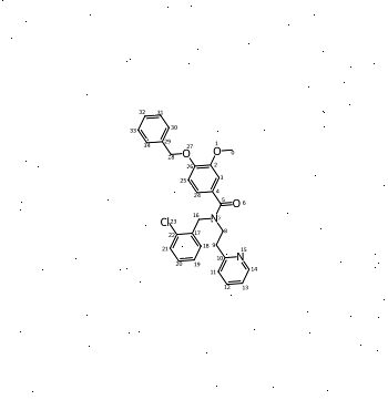 COc1cc(C(=O)N(CCc2ccccn2)Cc2ccccc2Cl)ccc1OCc1ccccc1